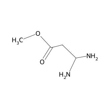 COC(=O)CC(N)N